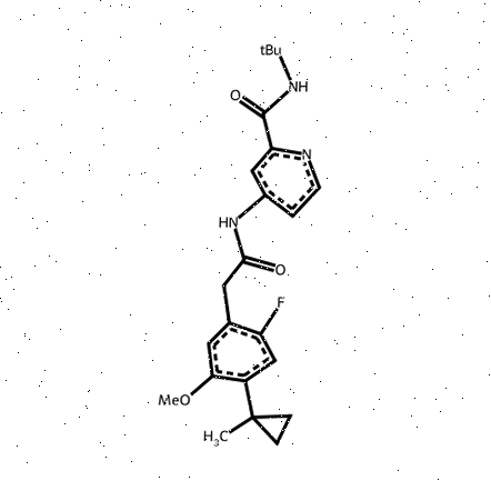 COc1cc(CC(=O)Nc2ccnc(C(=O)NC(C)(C)C)c2)c(F)cc1C1(C)CC1